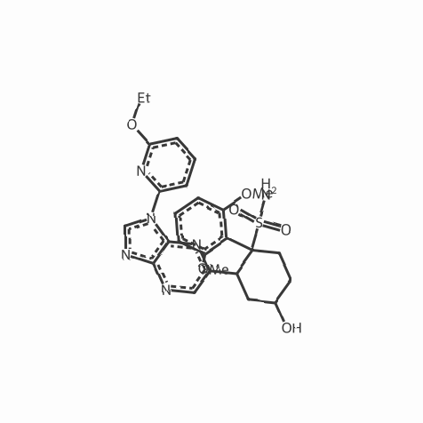 CCOc1cccc(-n2cnc3ncc(C4CC(O)CCC4(c4c(OC)cccc4OC)S(N)(=O)=O)nc32)n1